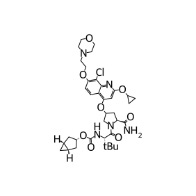 CC(C)(C)[C@H](NC(=O)O[C@@H]1C[C@@H]2C[C@@H]2C1)C(=O)N1CC(Oc2cc(OC3CC3)nc3c(Cl)c(OCCN4CCOCC4)ccc23)C[C@H]1C(N)=O